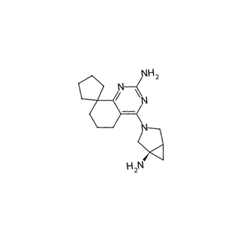 Nc1nc(N2CC3C[C@]3(N)C2)c2c(n1)C1(CCCC1)CCC2